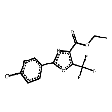 CCOC(=O)c1nc(-c2ccc(Cl)cc2)oc1C(F)(F)F